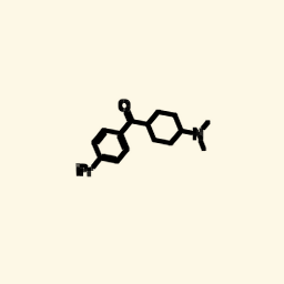 CC(C)c1ccc(C(=O)C2CCC(N(C)C)CC2)cc1